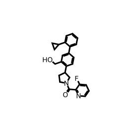 O=C(c1ncccc1F)N1CCC(c2ccc(-c3ccccc3C3CC3)cc2CO)C1